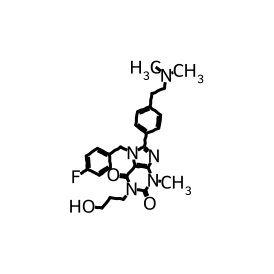 CN(C)CCc1ccc(-c2nc3c(c(=O)n(CCCO)c(=O)n3C)n2Cc2ccc(F)cc2)cc1